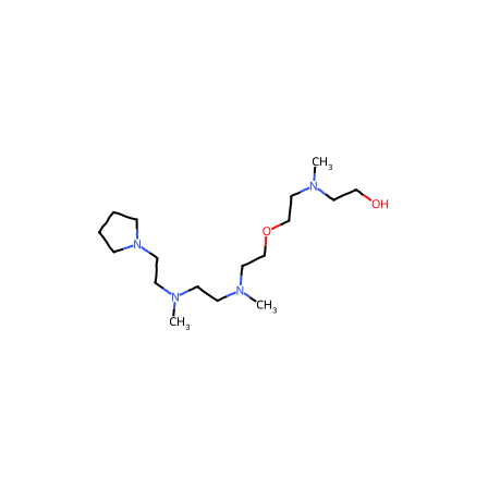 CN(CCO)CCOCCN(C)CCN(C)CCN1CCCC1